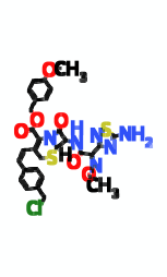 CO/N=C(\C(=O)N[C@@H]1C(=O)N2C(C(=O)OCc3ccc(OC)cc3)=C(/C=C\c3ccc(CCl)cc3)CS[C@H]12)c1nsc(N)n1